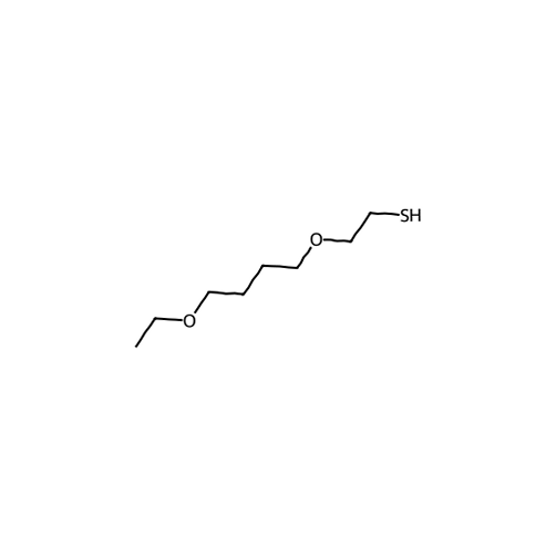 CCOCCCCOCCS